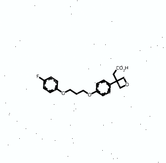 O=C(O)CC1(c2ccc(OCCCOc3ccc(F)cc3)cc2)COC1